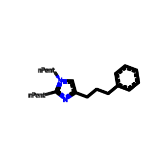 CCCCCc1nc(CCCc2ccccc2)cn1CCCCC